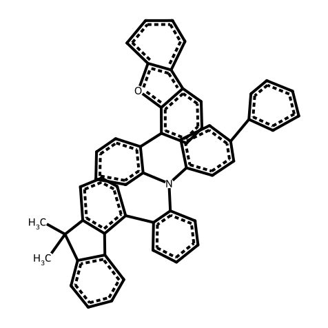 CC1(C)c2ccccc2-c2c(-c3ccccc3N(c3ccc(-c4ccccc4)cc3)c3ccccc3-c3cccc4c3oc3ccccc34)cccc21